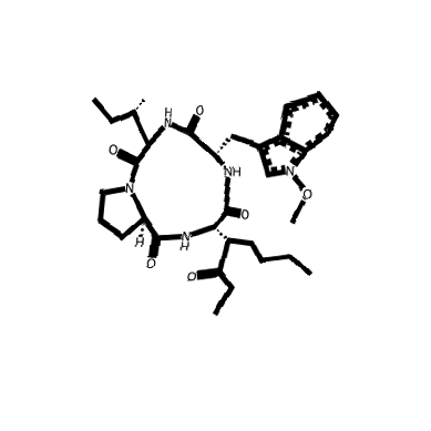 CCCCC(C(=O)CC)[C@@H]1NC(=O)[C@H]2CCCN2C(=O)C([C@@H](C)CC)NC(=O)[C@H](Cc2cn(OC)c3ccccc23)NC1=O